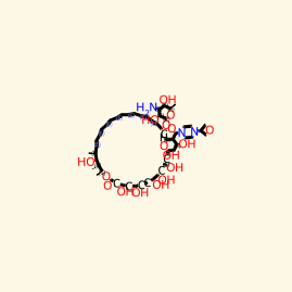 C[C@@H]1OC(=O)CC(O)CC(O)CCC(O)C(O)C[C@H](O)CC2(O)C[C@H](O)C(C(=O)N3CCN(C4COC4)CC3)[C@H](CC(O[C@@H]3O[C@H](C)[C@@H](O)[C@H](N)[C@@H]3O)/C=C/C=C/C=C/C=C/C=C/C=C/C=C/[C@H](C)C(O)[C@H]1C)O2